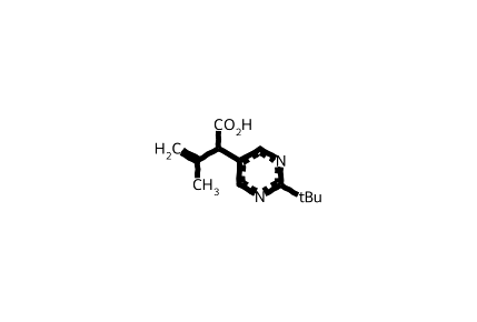 C=C(C)C(C(=O)O)c1cnc(C(C)(C)C)nc1